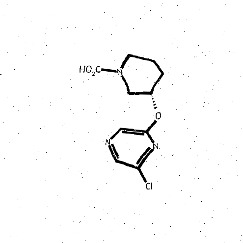 O=C(O)N1CCC[C@H](Oc2cncc(Cl)n2)C1